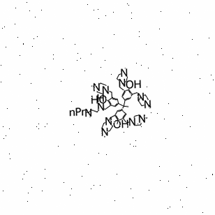 CCCN(C)CCNCc1cc(C(C)(c2cc(CN3CCN(C)CC3)c(O)c(CN3CCN(C)CC3)c2)c2cc(CN3CCN(C)CC3)c(O)c(CN3CCN(C)CC3)c2)cc(CN2CCN(C)CC2)c1O